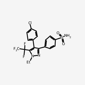 CCn1nc(-c2ccc(S(N)(=O)=O)cc2)c(-c2ccc(Cl)cc2)c1C(F)(F)C(F)(F)F